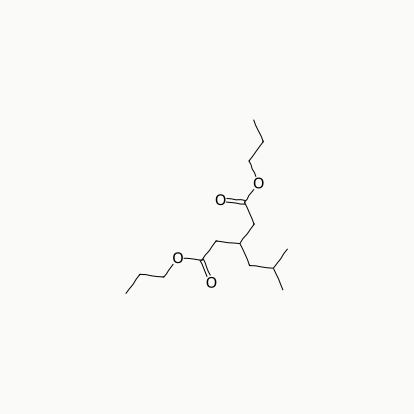 CCCOC(=O)CC(CC(=O)OCCC)CC(C)C